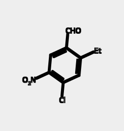 CCc1cc(Cl)c([N+](=O)[O-])cc1C=O